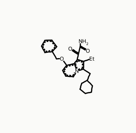 CCc1c(C(=O)C(N)=O)c2c(OCc3ccccc3)cccn2c1CC1CCCCC1